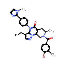 CC(C)Cc1cnn2c3c(c(=O)n(-c4ccc(-c5nccn5C)cc4)c12)C[C@@H](C)N(C(=O)c1ccc(Br)c(C(F)(F)F)c1)C3